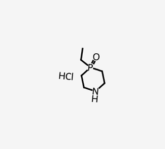 CCP1(=O)CCNCC1.Cl